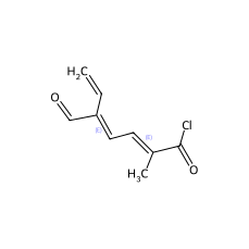 C=C/C(C=O)=C\C=C(/C)C(=O)Cl